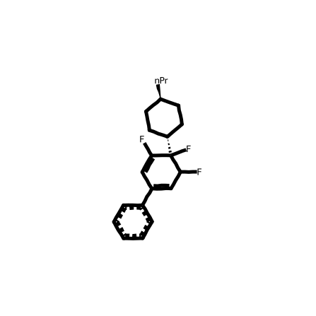 CCC[C@H]1CC[C@H](C2(F)C(F)=CC(c3ccccc3)=CC2F)CC1